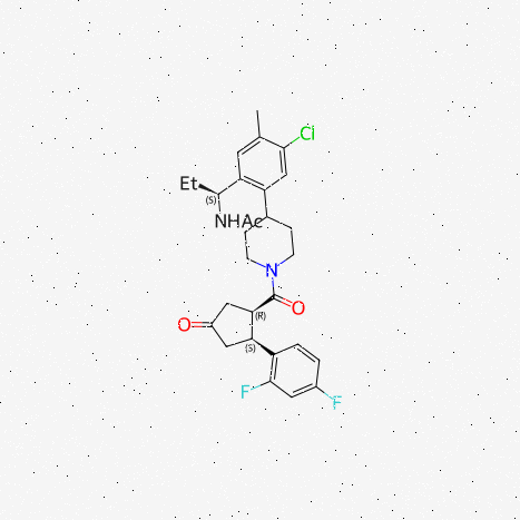 CC[C@H](NC(C)=O)c1cc(C)c(Cl)cc1C1CCN(C(=O)[C@@H]2CC(=O)C[C@@H]2c2ccc(F)cc2F)CC1